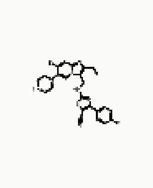 CCc1nc2cc(F)c(N3CCNCC3)cn2c1CNc1nc(-c2ccc(F)cc2)c(C#N)s1